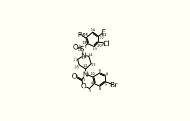 O=C1OCc2cc(Br)ccc2N1C1CCN([S+]([O-])c2cc(Cl)c(F)cc2F)CC1